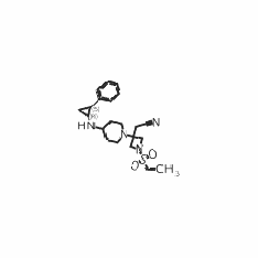 CCS(=O)(=O)N1CC(CC#N)(N2CCC(N[C@@H]3C[C@H]3c3ccccc3)CC2)C1